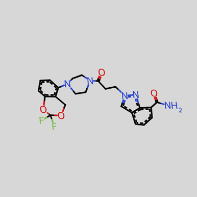 NC(=O)c1cccc2cn(CCC(=O)N3CCN(c4cccc5c4COC(F)(F)O5)CC3)nc12